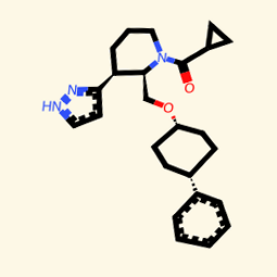 O=C(C1CC1)N1CCC[C@H](c2cc[nH]n2)[C@@H]1CO[C@H]1CC[C@@H](c2ccccc2)CC1